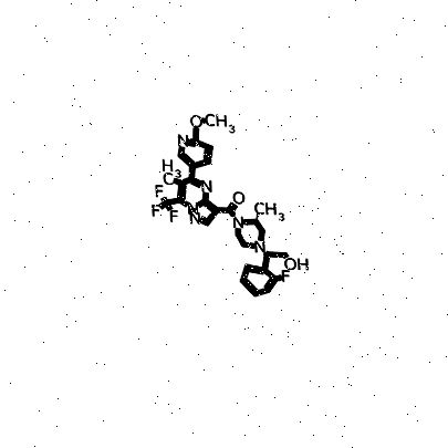 COc1ccc(-c2nc3c(C(=O)N4CCN(C(CO)c5ccccc5F)C[C@H]4C)cnn3c(C(F)(F)F)c2C)cn1